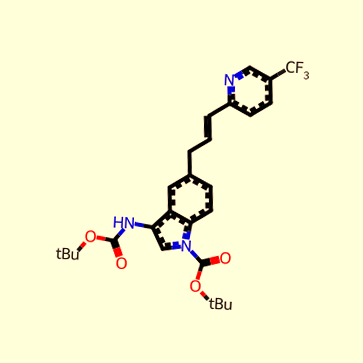 CC(C)(C)OC(=O)Nc1cn(C(=O)OC(C)(C)C)c2ccc(C/C=C/c3ccc(C(F)(F)F)cn3)cc12